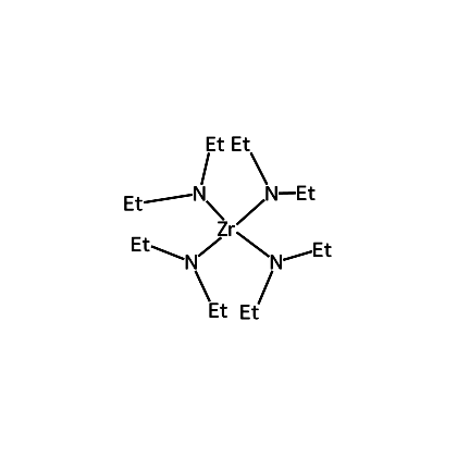 CC[N](CC)[Zr]([N](CC)CC)([N](CC)CC)[N](CC)CC